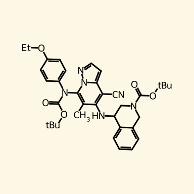 CCOc1ccc(N(C(=O)OC(C)(C)C)c2c(C)c(NC3CN(C(=O)OC(C)(C)C)Cc4ccccc43)c(C#N)c3ccnn23)cc1